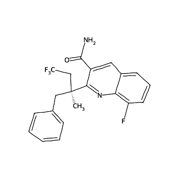 C[C@](Cc1ccccc1)(CC(F)(F)F)c1nc2c(F)cccc2cc1C(N)=O